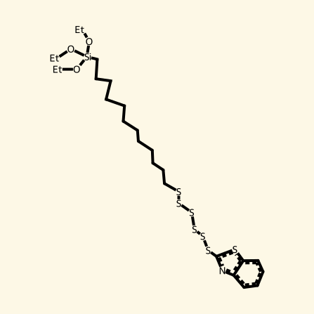 CCO[Si](CCCCCCCCCCCCSSSSSSc1nc2ccccc2s1)(OCC)OCC